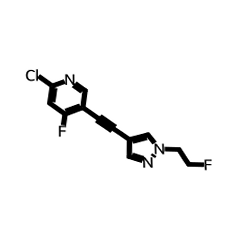 FCCn1cc(C#Cc2cnc(Cl)cc2F)cn1